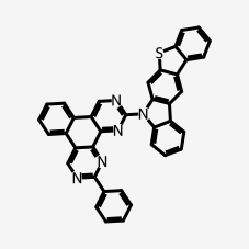 c1ccc(-c2ncc3c4ccccc4c4cnc(-n5c6ccccc6c6cc7c(cc65)sc5ccccc57)nc4c3n2)cc1